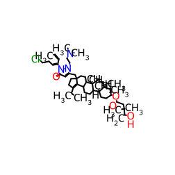 C=C(O)C(C)(C)CC(=O)OC1CCC2(C)[C@H]3CCC4C5=C(C(C)C)CCC5(Cc5cc(=O)n(C(/C=C\C)=C/CCCl)n5CCN(C)C)CC[C@@]4(C)[C@]3(C)CC[C@H]2C1(C)C